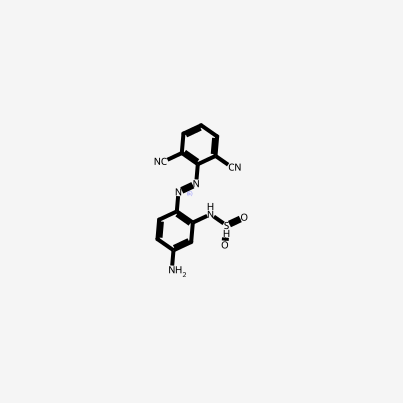 N#Cc1cccc(C#N)c1/N=N/c1ccc(N)cc1N[SH](=O)=O